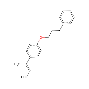 CC(=CC=O)c1ccc(OCCCc2ccccc2)cc1